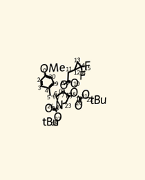 COc1ccc(C[C@@H]2[C@H](OC(=O)CC3CC3(F)F)[C@@H](OC(=O)OC(C)(C)C)CN2C(=O)OC(C)(C)C)cc1